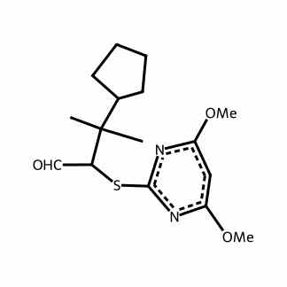 COc1cc(OC)nc(SC(C=O)C(C)(C)C2CCCC2)n1